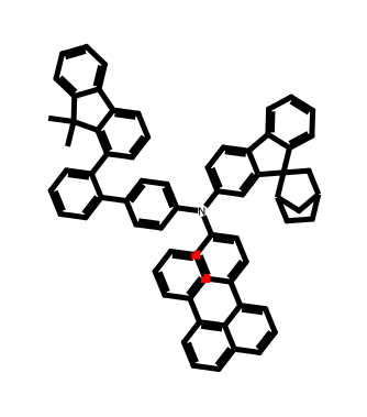 CC1(C)c2ccccc2-c2cccc(-c3ccccc3-c3ccc(N(c4ccc(-c5cccc6cccc(-c7ccccc7)c56)cc4)c4ccc5c(c4)C4(CC6CCC4C6)c4ccccc4-5)cc3)c21